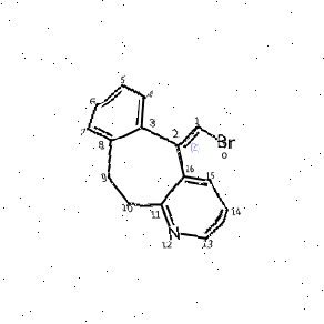 Br/C=C1/c2ccccc2CCc2ncccc21